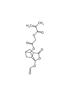 C=C(C)C(=O)OCC(=O)OC1C2CC3C(=O)OC1(OC=O)C3C2